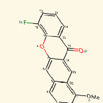 COc1cccc2cc3oc4c(F)cccc4c(=O)c3cc12